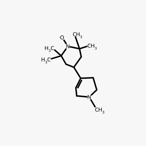 CN1CC=C(C2CC(C)(C)N([O])C(C)(C)C2)CC1